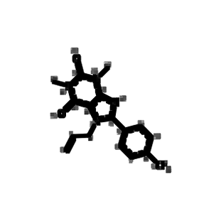 C=CCn1c(-c2ccc(C(F)(F)F)cc2)nc2c1c(=O)n(C)c(=O)n2C